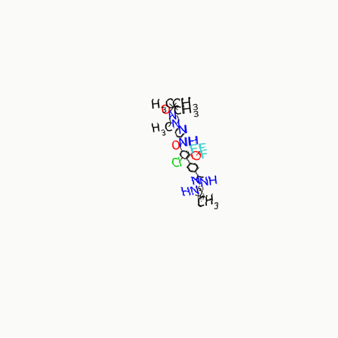 CC1CN(C(=O)C(C)(C)C)CCN1c1ccc(NC(=O)c2cc(Cl)c(-c3ccc(-c4c[nH]c([C@@H]5C[C@H](C)CN5)n4)cc3)c(OC(F)(F)F)c2)cn1